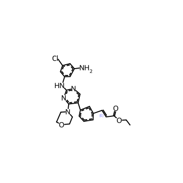 CCOC(=O)/C=C/c1cccc(-c2cnc(Nc3cc(N)cc(Cl)c3)nc2N2CCOCC2)c1